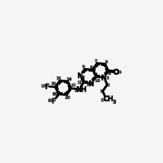 CCCn1c(=O)ccc2cnc(Nc3ccc(F)c(F)c3)nc21